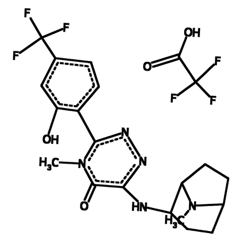 CN1C2CCC(Nc3nnc(-c4ccc(C(F)(F)F)cc4O)n(C)c3=O)C1CC2.O=C(O)C(F)(F)F